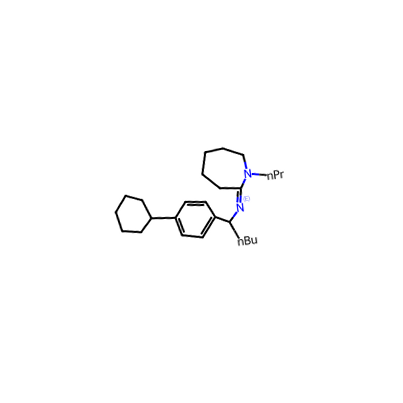 CCCCC(/N=C1\CCCCCN1CCC)c1ccc(C2CCCCC2)cc1